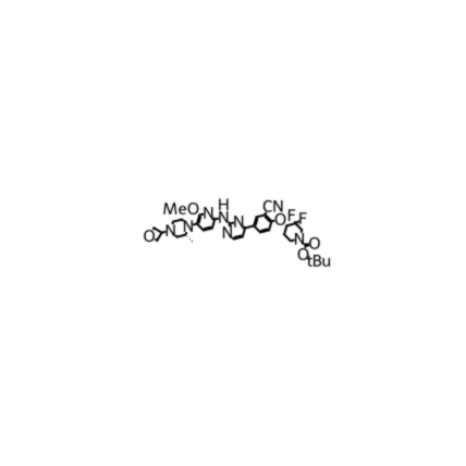 COc1nc(Nc2nccc(-c3ccc(OC4CCN(C(=O)OC(C)(C)C)CC4(F)F)c(C#N)c3)n2)ccc1N1CCN(C2COC2)C[C@H]1C